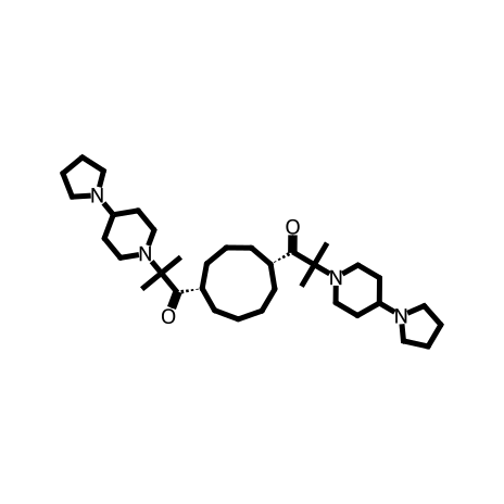 CC(C)(C(=O)[C@@H]1CCCC[C@H](C(=O)C(C)(C)N2CCC(N3CCCC3)CC2)CCC1)N1CCC(N2CCCC2)CC1